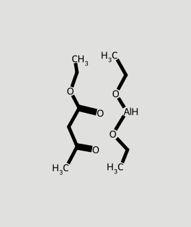 CCOC(=O)CC(C)=O.CC[O][AlH][O]CC